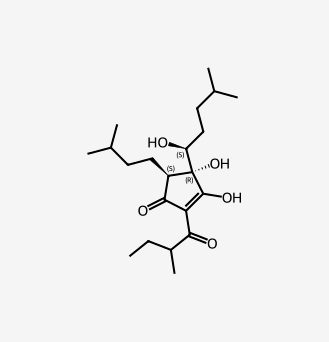 CCC(C)C(=O)C1=C(O)[C@](O)([C@@H](O)CCC(C)C)[C@H](CCC(C)C)C1=O